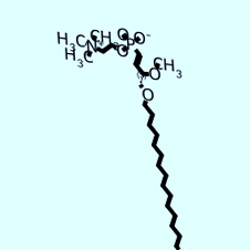 CCCCCCCCCCCCCCCCOC[C@H](C=CP(=O)([O-])OCC[N+](C)(C)C)OC